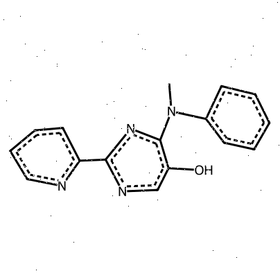 CN(c1ccccc1)c1nc(-c2ccccn2)ncc1O